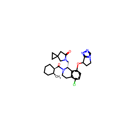 C[C@H]1CCCC[C@H]1C(=O)N1CCc2c(Cl)ccc(OC3CCn4cnnc43)c2[C@H]1CN1CC2(CC2)CC1=O